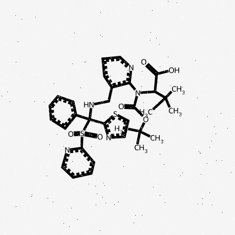 CC(C)(C)OC(=O)N(c1ncccc1CNC(c1ccccc1)(c1nccs1)S(=O)(=O)c1ccccn1)C(C(=O)O)C(C)(C)C